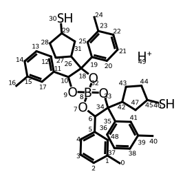 Cc1cccc(C2O[B-]3(OC(c4cccc(C)c4)C(c4cccc(C)c4)(C4CCC(S)C4)O3)OC2(c2cccc(C)c2)C2CCC(S)C2)c1.[H+]